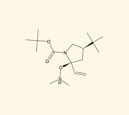 C=C[C@@]1(O[SiH](C)C)C[C@H](C(C)(C)C)CN1C(=O)OC(C)(C)C